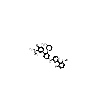 COc1cccc(F)c1-c1nccc(Nc2cc(N3CCC[C@H](N)C3)c(-c3ccc(F)c(N(C)C)c3)cn2)n1